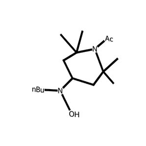 CCCCN(O)C1CC(C)(C)N(C(C)=O)C(C)(C)C1